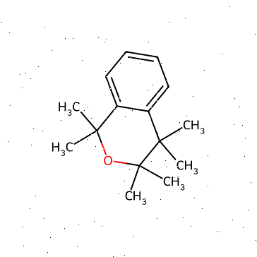 CC1(C)OC(C)(C)C(C)(C)c2ccccc21